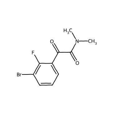 CN(C)C(=O)C(=O)c1cccc(Br)c1F